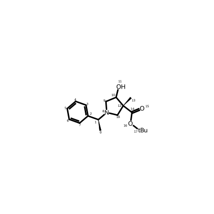 C[C@@H](c1ccccc1)N1CC(O)[C@](C)(C(=O)OC(C)(C)C)C1